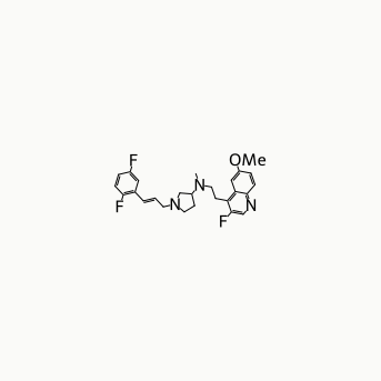 COc1ccc2ncc(F)c(CCN(C)C3CCN(CC=Cc4cc(F)ccc4F)C3)c2c1